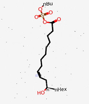 CCCCCC[C@@H](O)C/C=C\CCCCCCCC(=O)OS(=O)(=O)OCCCC